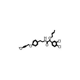 CC=CCOC(C(=O)NCCc1ccc(OCC#COC)cc1)c1ccc(Cl)c(Cl)c1